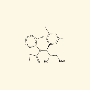 CNC[C@H](O)[C@H](c1cc(F)cc(F)c1)N1C(=O)C(C)(C)c2cccc(F)c21